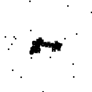 O=C1CCC(N2Cc3c(OCCCCCNC45CC6CC7CC(C4)C765)cccc3C2=O)C(=O)N1